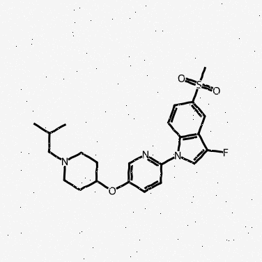 CC(C)CN1CCC(Oc2ccc(-n3cc(F)c4cc(S(C)(=O)=O)ccc43)nc2)CC1